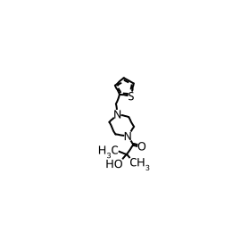 CC(C)(O)C(=O)N1CCN(Cc2cccs2)CC1